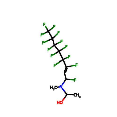 CC(O)N(C)C(F)C=C(F)C(F)(F)C(F)(F)C(F)(F)C(F)(F)C(F)(F)F